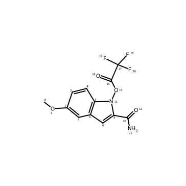 COc1ccc2c(c1)cc(C(N)=O)n2OC(=O)C(F)(F)F